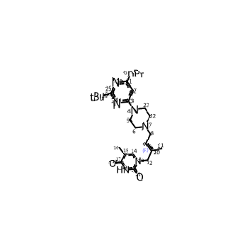 CCCc1cc(N2CCN(C/C=C(\C)Cn3cc(C)c(=O)[nH]c3=O)CC2)nc(C(C)(C)C)n1